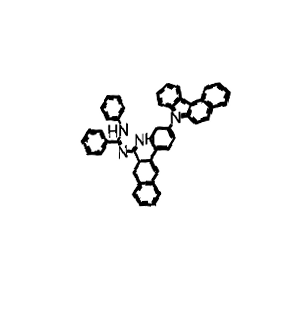 N=C(/N=C(\Nc1ccccc1)c1ccccc1)C1Cc2ccccc2C=C1C1=CC=C(n2c3ccccc3c3c4ccccc4ccc32)CC1